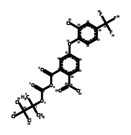 CC(C)(OC(=O)OC(=O)c1cc(Oc2ccc(C(F)(F)F)cc2Cl)ccc1[N+](=O)[O-])C(Cl)(Cl)Cl